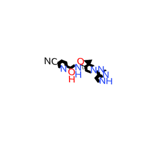 N#Cc1ccc(C(O)CNC(=O)[C@H]2CCN(c3ncnc4[nH]ccc34)CC23CC3)nc1